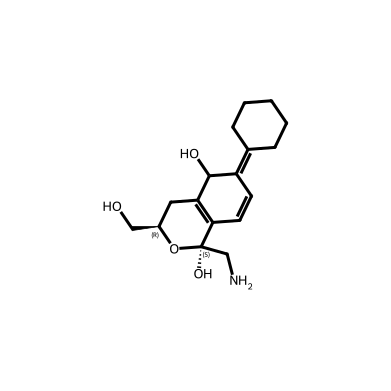 NC[C@@]1(O)O[C@@H](CO)CC2=C1C=CC(=C1CCCCC1)C2O